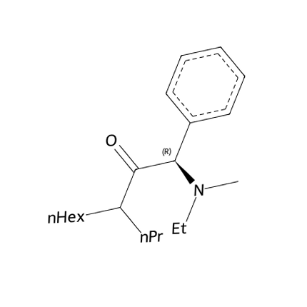 CCCCCCC(CCC)C(=O)[C@@H](c1ccccc1)N(C)CC